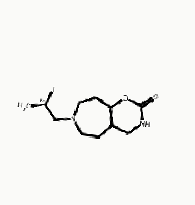 C[C@@H](I)CN1CCC2CNC(=O)OC2CC1